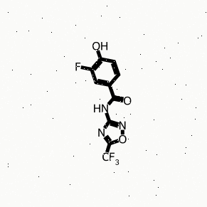 O=C(Nc1noc(C(F)(F)F)n1)c1ccc(O)c(F)c1